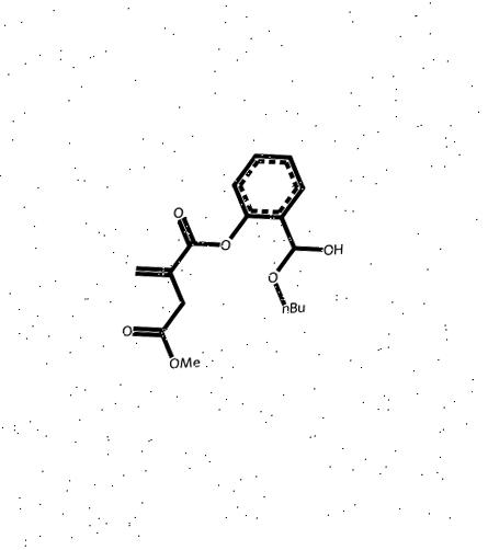 C=C(CC(=O)OC)C(=O)Oc1ccccc1C(O)OCCCC